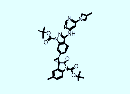 Cc1ccc2c(c1)[C@]1(C[C@H]1c1ccc3c(Nc4cc(N5CC(C)C5)ncn4)nn(C(=O)OC(C)(C)C)c3c1)C(=O)N2C(=O)OC(C)(C)C